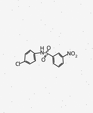 O=[N+]([O-])c1cccc(S(=O)(=O)Nc2ccc(Cl)cc2)c1